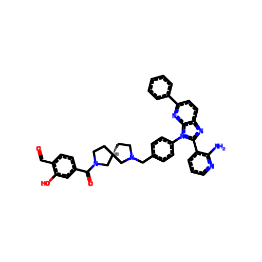 Nc1ncccc1-c1nc2ccc(-c3ccccc3)nc2n1-c1ccc(CN2CC[C@]3(CCN(C(=O)c4ccc(C=O)c(O)c4)C3)C2)cc1